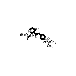 CC(=O)C(Cc1ccc(S(=O)(=O)N(C)C)cc1)C1C(=O)C=CN=C1NC(=O)OC(C)(C)C